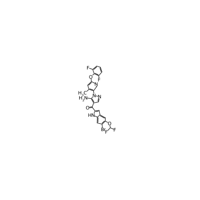 Cc1cc(Oc2c(F)cccc2F)ncc1-n1ncc(C(=O)c2cc3cc(OC(F)F)c(Br)cc3[nH]2)c1N